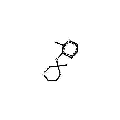 Cc1ncccc1OC1(C)COCC[N]1